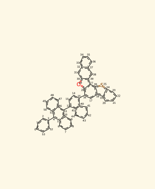 c1ccc(-c2c3ccccc3c(-c3ccc(-c4cc5c6ccccc6sc5c5c4oc4cc6ccccc6cc45)c4ccccc34)c3ccccc23)cc1